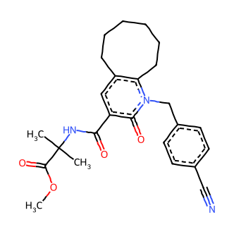 COC(=O)C(C)(C)NC(=O)c1cc2c(n(Cc3ccc(C#N)cc3)c1=O)CCCCCC2